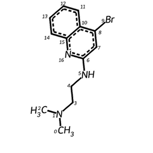 CN(C)CCNc1cc(Br)c2ccccc2n1